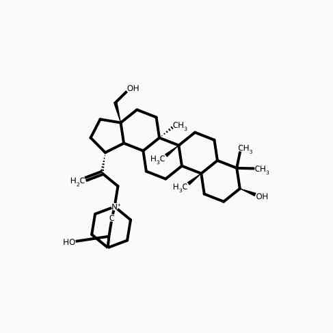 C=C(C[N+]12CCC(CC1)C(O)C2)[C@@H]1CC[C@]2(CO)CC[C@]3(C)C(CCC4[C@@]5(C)CC[C@H](O)C(C)(C)C5CC[C@]43C)C12